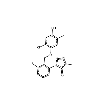 Cc1cc(OCc2c(F)cccc2-n2nnn(C)c2=O)c(Cl)cc1O